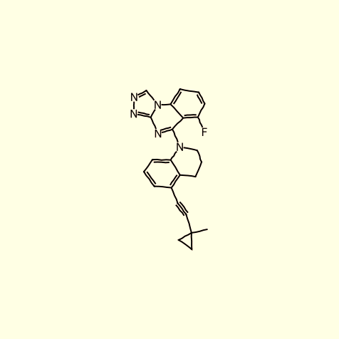 CC1(C#Cc2cccc3c2CCCN3c2nc3nncn3c3cccc(F)c23)CC1